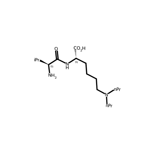 CCCN(CCC)CCCC[C@H](NC(=O)[C@@H](N)C(C)C)C(=O)O